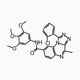 COc1cc(NC(=O)c2ccc3nc(C)c4nnc(-c5ccccc5Cl)n4c3c2)cc(OC)c1OC